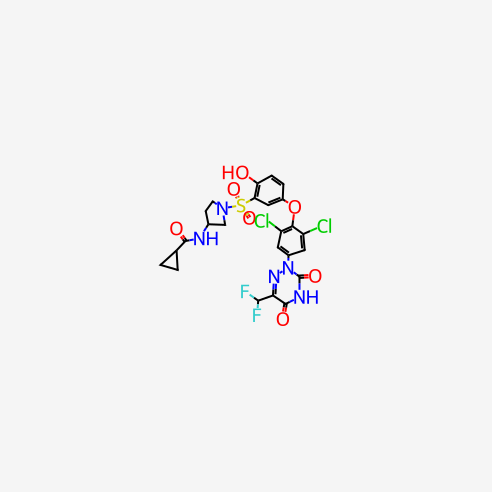 O=C(NC1CCN(S(=O)(=O)c2cc(Oc3c(Cl)cc(-n4nc(C(F)F)c(=O)[nH]c4=O)cc3Cl)ccc2O)C1)C1CC1